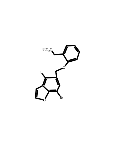 CCOC(=O)Cc1ccccc1OCc1cc(Br)c2occc2c1F